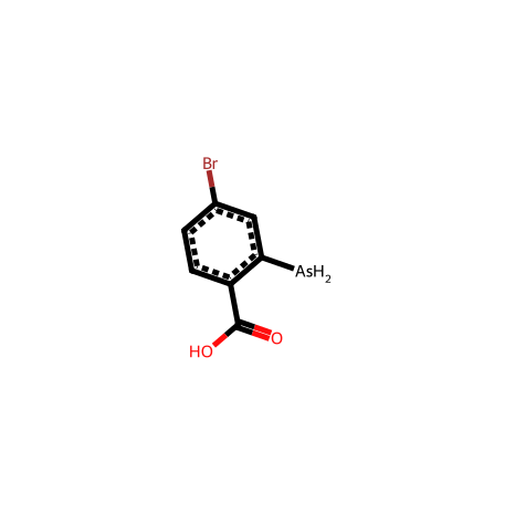 O=C(O)c1ccc(Br)cc1[AsH2]